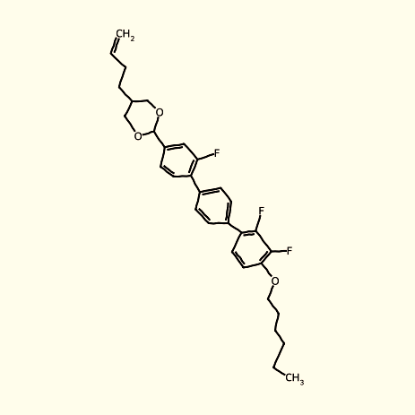 C=CCCC1COC(c2ccc(-c3ccc(-c4ccc(OCCCCCC)c(F)c4F)cc3)c(F)c2)OC1